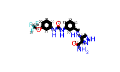 NC(=O)c1n[nH]cc1NCc1cccc(NC(=O)Nc2cccc(OC(F)(F)F)c2)c1